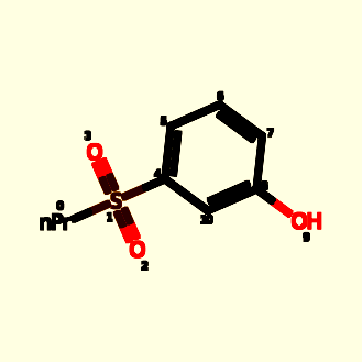 CCCS(=O)(=O)c1cccc(O)c1